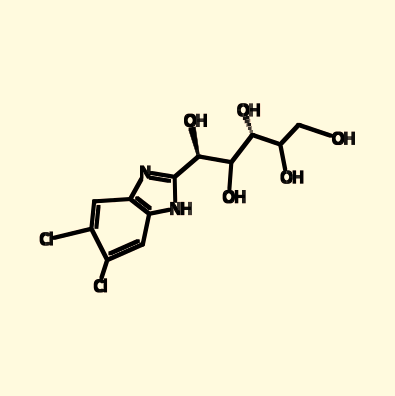 OCC(O)[C@@H](O)C(O)[C@H](O)c1nc2cc(Cl)c(Cl)cc2[nH]1